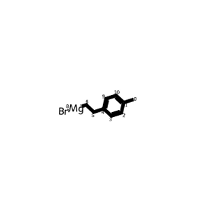 Cc1ccc(C[CH2][Mg][Br])cc1